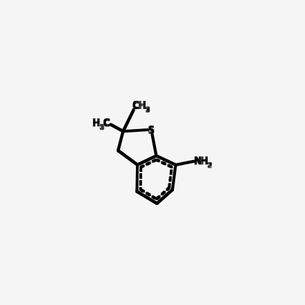 CC1(C)Cc2cccc(N)c2S1